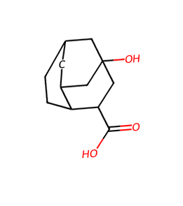 O=C(O)C1CC2(O)CC3CCC1C(C3)C2